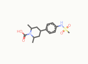 CC1CC(c2ccc(NS(C)(=O)=O)cc2)CC(C)N1C(=O)O